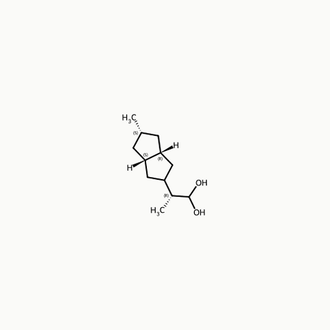 C[C@H]1C[C@H]2CC([C@@H](C)C(O)O)C[C@H]2C1